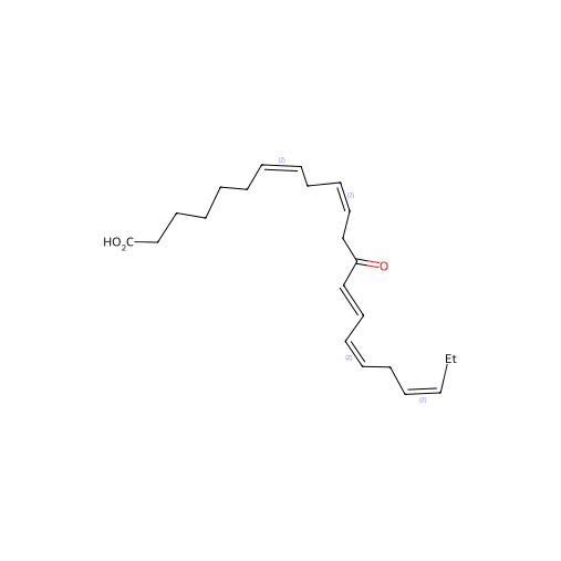 CC/C=C\C/C=C\C=CC(=O)C/C=C\C/C=C\CCCCCC(=O)O